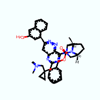 CN(C)CC1(Cc2nc(N3C[C@H]4CC[C@@](C)(C3)N4C(=O)OCc3ccccc3)c3nnc(-c4cc(O)cc5ccccc45)cc3n2)CC1